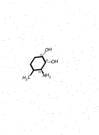 CC1CC[C@H](O)[C@H](O)[C@H]1N